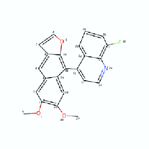 COc1cc2cc3ccoc3c(-c3ccnc4c(F)cccc34)c2cc1OC